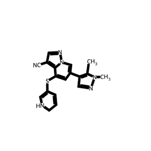 Cc1c(-c2cc(SC3=CNCC=C3)c3c(C#N)cnn3c2)cnn1C